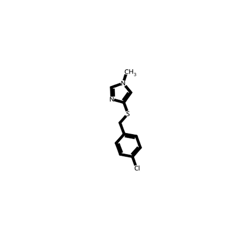 Cn1cnc(SCc2ccc(Cl)cc2)c1